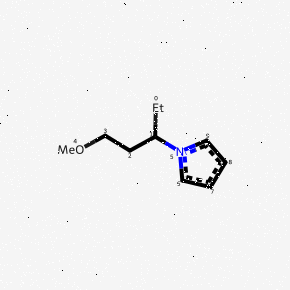 CCC(CCOC)n1cccc1